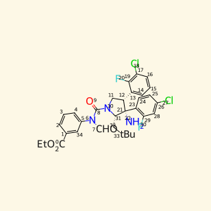 CCOC(=O)c1cccc(N(C=O)C(=O)N2C[C@H](c3cccc(Cl)c3F)[C@@](N)(c3ccc(Cl)cc3F)[C@@H]2CC(C)(C)C)c1